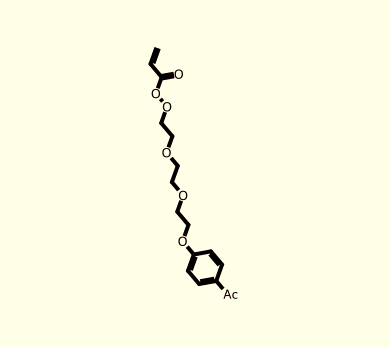 C=CC(=O)OOCCOCCOCCOc1ccc(C(C)=O)cc1